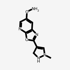 CN1C=C(c2nc3cc(ON)cnc3o2)CN1